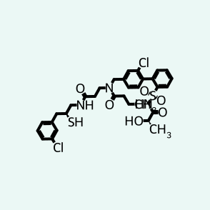 CCCC(=O)N(CCC(=O)NC[C@@H](S)Cc1cccc(Cl)c1)Cc1ccc(-c2ccccc2S(=O)(=O)NC(=O)[C@H](C)O)c(Cl)c1